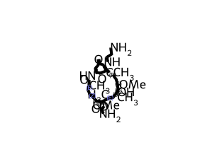 CO[C@H]1C[C@H](C)CC2=C(NCCCN)C(=O)C=C(NC(=O)/C(C)=C/C=C\[C@@H](OC)[C@@H](OC(N)=O)/C(C)=C/[C@H](C)[C@H]1O)C2=O